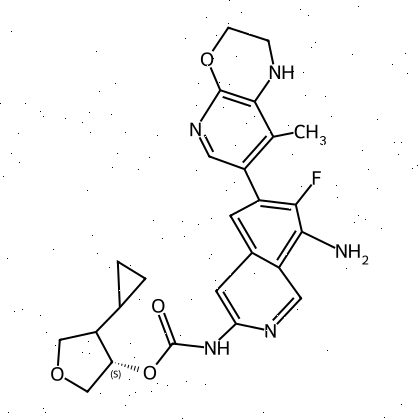 Cc1c(-c2cc3cc(NC(=O)O[C@@H]4COCC4C4CC4)ncc3c(N)c2F)cnc2c1NCCO2